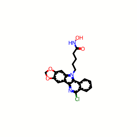 O=C(CCCCn1c2cc3c(cc2c2nc(Cl)c4ccccc4c21)OCO3)NO